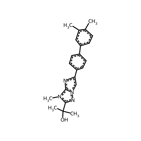 Cc1ccc(-c2ccc(-c3cn4nc(C(C)(C)O)n(C)c4n3)cc2)cc1C